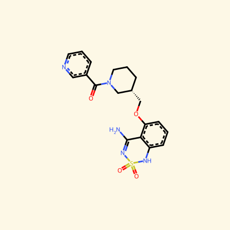 NC1=NS(=O)(=O)Nc2cccc(OC[C@H]3CCCN(C(=O)c4cccnc4)C3)c21